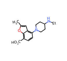 CCNC1CCN(c2ccc(C(=O)O)c3oc(C)cc23)CC1